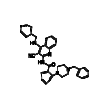 N#Cc1c(NC(=O)c2ccccc2N2CCN(Cc3ccccc3)CC2)nc2ccccc2c1NCc1ccccc1